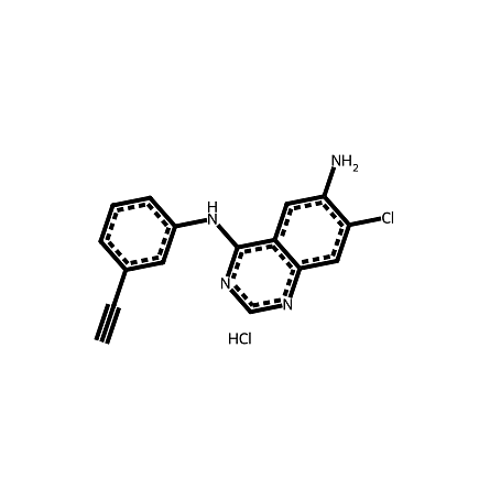 C#Cc1cccc(Nc2ncnc3cc(Cl)c(N)cc23)c1.Cl